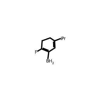 BC1=C(F)CCC(C(C)C)=C1